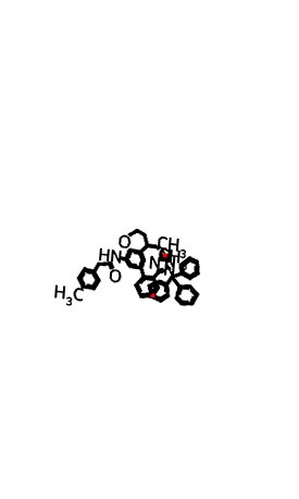 Cc1ccc(CC(=O)Nc2cc(-c3ccccc3-c3nnnn3C(c3ccccc3)(c3ccccc3)c3ccccc3)cc3c2OCCCC3C(C)C)cc1